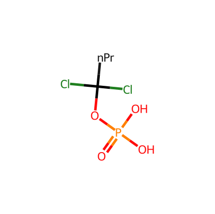 CCCC(Cl)(Cl)OP(=O)(O)O